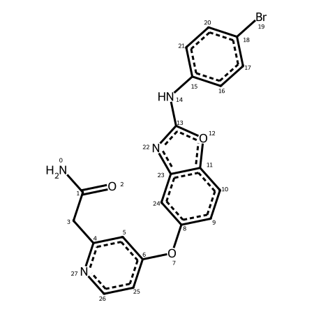 NC(=O)Cc1cc(Oc2ccc3oc(Nc4ccc(Br)cc4)nc3c2)ccn1